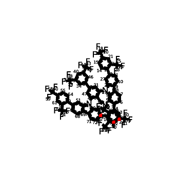 Cc1ccc(-c2ccc3c4ccc(-c5ccc(C(F)(F)F)cc5C(F)(F)F)cc4n(-c4cc(-c5cc(C(F)(F)F)cc(C(F)(F)F)c5)cc(-n5c6cc(-c7ccc(C(F)(F)F)cc7C(F)(F)F)ccc6c6ccc(-c7ccc(C(F)(F)F)cc7C(F)(F)F)cc65)c4C#N)c3c2)c(C(F)(F)F)c1